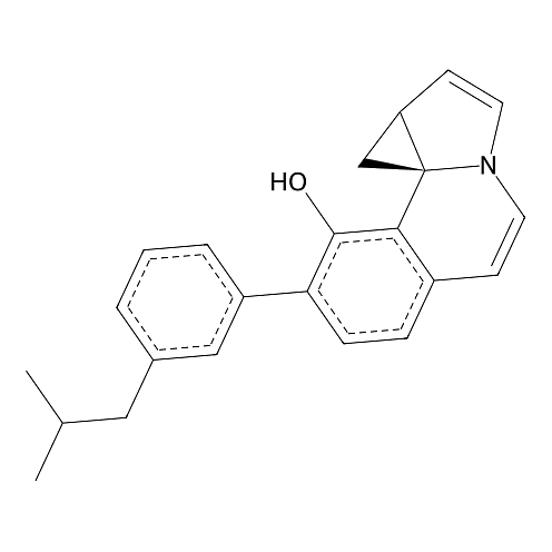 CC(C)Cc1cccc(-c2ccc3c(c2O)[C@]24CC2C=CN4C=C3)c1